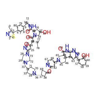 Cc1ncsc1-c1ccc([C@H](C)NC(=O)[C@@H]2C[C@@H](O)CN2C(=O)[C@@H](c2cc(N3CCN(CC4CCN(C[C@H]5C[C@H](Oc6cc(N7CCc8c(c(=O)[nH]c9nnc(-c%10ccccc%10O)cc89)C7)ccn6)C5)CC4)CC3)no2)C(C)C)cc1